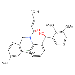 COc1ccc(CN(C(=O)C=CC(=O)O)c2c(Cl)cccc2C(O)c2cccc(OC)c2OC)c(OC)c1